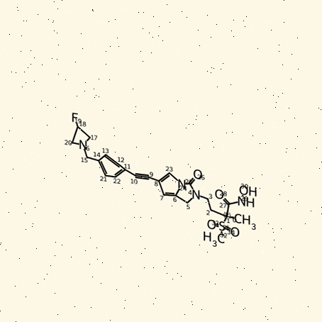 C[C@@](CCN1Cc2cc(C#Cc3ccc(CN4CC(F)C4)cc3)cn2C1=O)(C(=O)NO)S(C)(=O)=O